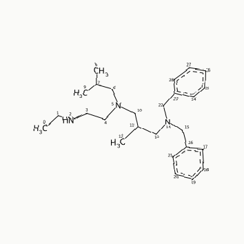 CCNCCN(CC(C)C)CC(C)CN(Cc1ccccc1)Cc1ccccc1